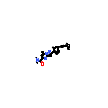 Cc1cc(C#C[Si](C)(C)C)ccc1-c1cc2nc(C(=O)N(C)C)cc(C)n2n1